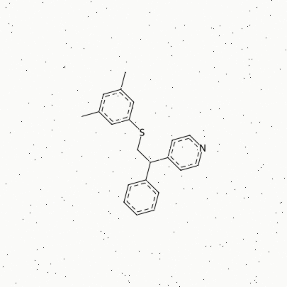 Cc1cc(C)cc(SCC(c2ccccc2)c2ccncc2)c1